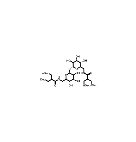 CCCCCCCCCCCC(CCCCCCCCCCC)C(=O)NCC1O[C@H](O[C@@H]2OC(CNC(=O)C(CCCCCCCCCCC)CCCCCCCCCCC)[C@@H](O)[C@H](O)C2O)C(O)[C@@H](O)[C@@H]1O